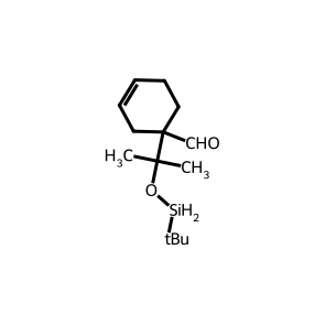 CC(C)(C)[SiH2]OC(C)(C)C1(C=O)CC=CCC1